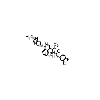 C[C@H](c1cnc(NCc2ncn(C)n2)c2ccccc12)N(C)C(=O)Nc1ccc(F)c(Cl)c1